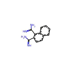 N=C(N)c1ccc2ccccc2c1C(=N)N